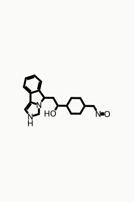 O=NCC1CCC(C(O)CC2c3ccccc3C3=CNCN32)CC1